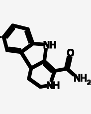 NC(=O)C1=C2Nc3cc[c]cc3C2CCN1